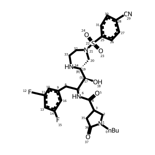 CCCCN1CC(C(=O)NC(Cc2cc(F)cc(F)c2)[C@H](O)[C@H]2CN(S(=O)(=O)c3ccc(C#N)cc3)CCN2)CC1=O